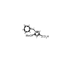 COc1nc(C(=O)O)nn1Cc1ccccc1